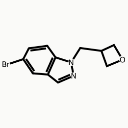 Brc1ccc2c(cnn2CC2COC2)c1